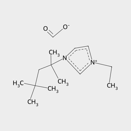 CC[n+]1ccn(C(C)(C)CC(C)(C)C)c1.O=C[O-]